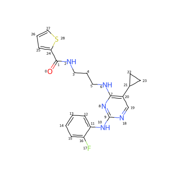 O=C(NCCCNc1nc(Nc2ccccc2F)ncc1C1CC1)c1cccs1